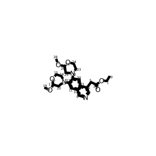 CCOC(=O)Cc1cncc2cc(N3CCOC(OC)C3)c(N3CCOC(OC)C3)cc12